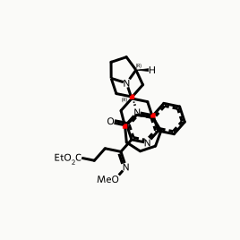 CCOC(=O)CCC(=NOC)c1nc2ccccc2n([C@@H]2CC3CC[C@H](C2)N3C2CC3CCCCC(C3)C2)c1=O